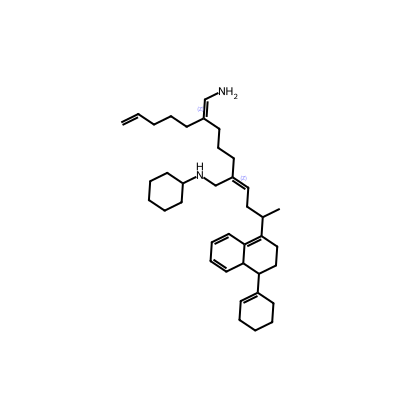 C=CCCC/C(=C/N)CCC/C(=C/CC(C)C1=C2C=CC=CC2C(C2=CCCCC2)CC1)CNC1CCCCC1